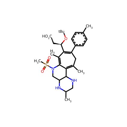 CC1=C2C(=C(C)C([C@@H](CC(=O)O)OC(C)(C)C)=C(c3ccc(C)cc3)C1)N(S(C)(=O)=O)CC1NC(C)CNC21